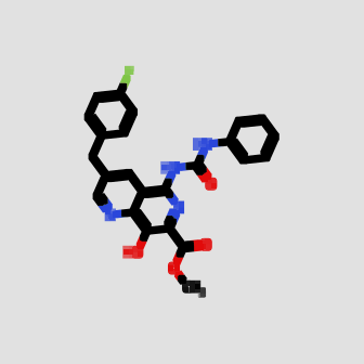 COC(=O)c1nc(NC(=O)Nc2ccccc2)c2cc(Cc3ccc(F)cc3)cnc2c1O